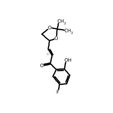 CC1(C)OCC(/C=C/C(=O)c2cc(F)ccc2O)O1